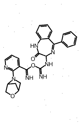 N=C(NC1N=C(c2ccccc2)c2ccccc2NC1=O)OC(=N)c1cccnc1N1CC2CC1CO2